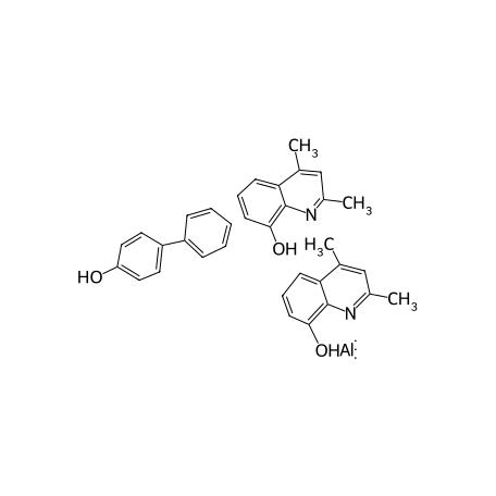 Cc1cc(C)c2cccc(O)c2n1.Cc1cc(C)c2cccc(O)c2n1.Oc1ccc(-c2ccccc2)cc1.[Al]